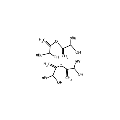 C=C(OC(=C)C(O)CCC)C(O)CCC.C=C(OC(=C)C(O)CCCC)C(O)CCCC